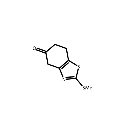 CSc1nc2c(s1)CCC(=O)C2